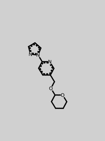 c1cnn(-c2ccc(COC3CCCCO3)cn2)c1